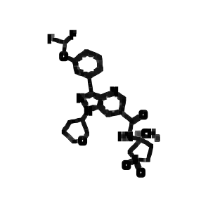 C[C@]1(NC(=O)c2cnc3c(-c4cccc(OC(F)F)c4)nn(C4CCCOC4)c3c2)CCS(=O)(=O)C1